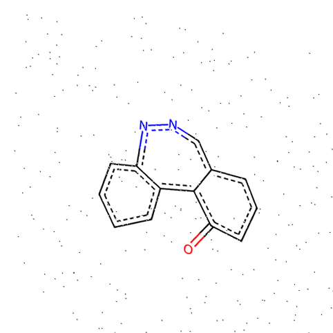 O=c1cccc2cnnc3ccccc3c1-2